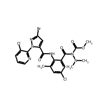 COC(=O)N(C(=O)c1cc(Cl)cc(C)c1NC(=O)c1cc(Br)nn1-c1ncccc1Cl)N(C)C